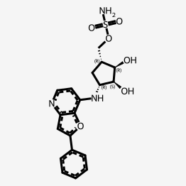 NS(=O)(=O)OC[C@H]1C[C@@H](Nc2ccnc3cc(-c4ccccc4)oc23)[C@H](O)[C@@H]1O